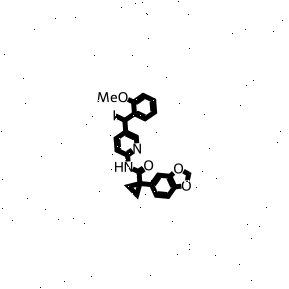 COc1ccccc1C(I)c1ccc(NC(=O)C2(c3ccc4c(c3)OCO4)CC2)nc1